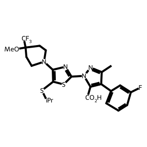 COC1(C(F)(F)F)CCN(c2nc(-n3nc(C)c(-c4cccc(F)c4)c3C(=O)O)sc2SC(C)C)CC1